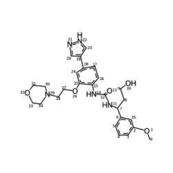 COc1cccc(C(CCO)NC(=O)Nc2ccc(-c3cn[nH]c3)cc2OCCN2CCOCC2)c1